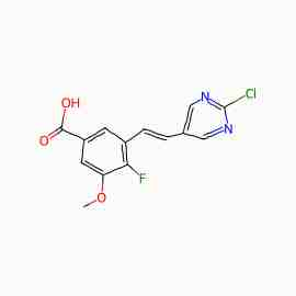 COc1cc(C(=O)O)cc(C=Cc2cnc(Cl)nc2)c1F